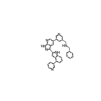 c1ccc(CNCc2cncc(-c3cnc4[nH]nc(-c5cc6c(-c7cccnc7)cccc6[nH]5)c4c3)c2)cc1